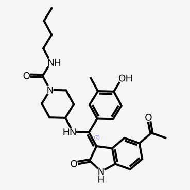 CCCCNC(=O)N1CCC(N/C(=C2\C(=O)Nc3ccc(C(C)=O)cc32)c2ccc(O)c(C)c2)CC1